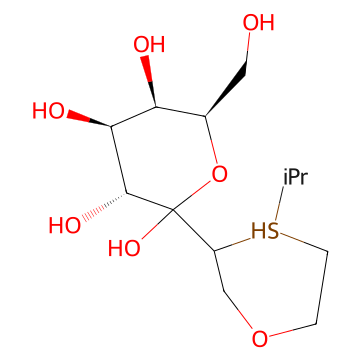 CC(C)[SH]1CCOCC1C1(O)O[C@H](CO)[C@H](O)[C@H](O)[C@H]1O